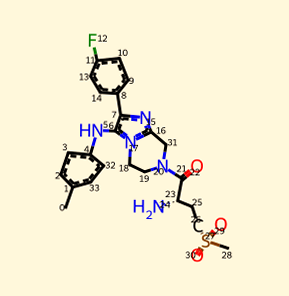 Cc1ccc(Nc2c(-c3ccc(F)cc3)nc3n2CCN(C(=O)[C@@H](N)CCS(C)(=O)=O)C3)cc1